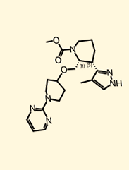 COC(=O)N1CCC[C@H](c2n[nH]cc2C)[C@@H]1COC1CCN(c2ncccn2)CC1